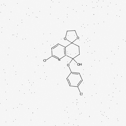 OC1(Oc2ccc(Cl)cc2)CCC2(OCCO2)c2ccc(Cl)nc21